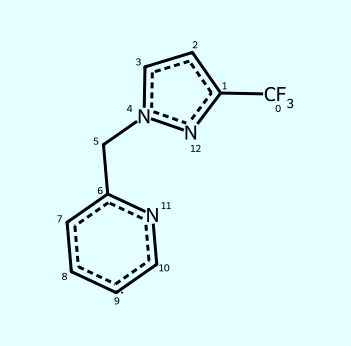 FC(F)(F)c1ccn(Cc2cc[c]cn2)n1